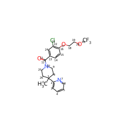 CC1(c2ccccn2)CCN(C(=O)c2ccc(OCCOC(F)(F)F)c(Cl)c2)CC1